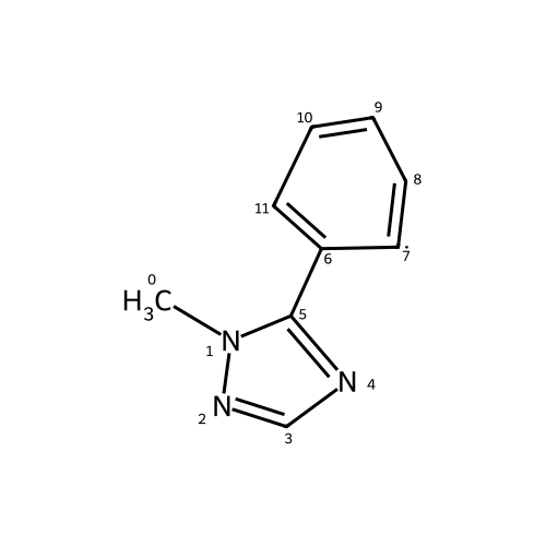 Cn1ncnc1-c1[c]cccc1